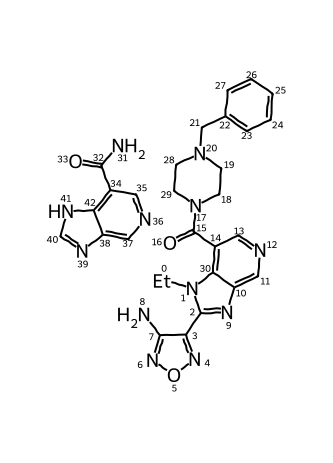 CCn1c(-c2nonc2N)nc2cncc(C(=O)N3CCN(Cc4ccccc4)CC3)c21.NC(=O)c1cncc2nc[nH]c12